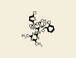 CO[N+](=C(Nc1nc(C)nc(C)n1)NS(=O)(=O)c1ccc(Cl)s1)S(=O)(=O)c1ccccc1Cl